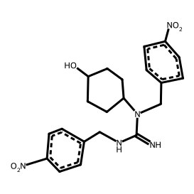 N=C(NCc1ccc([N+](=O)[O-])cc1)N(Cc1ccc([N+](=O)[O-])cc1)C1CCC(O)CC1